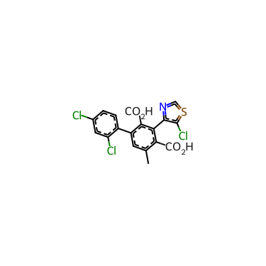 Cc1cc(-c2ccc(Cl)cc2Cl)c(C(=O)O)c(-c2ncsc2Cl)c1C(=O)O